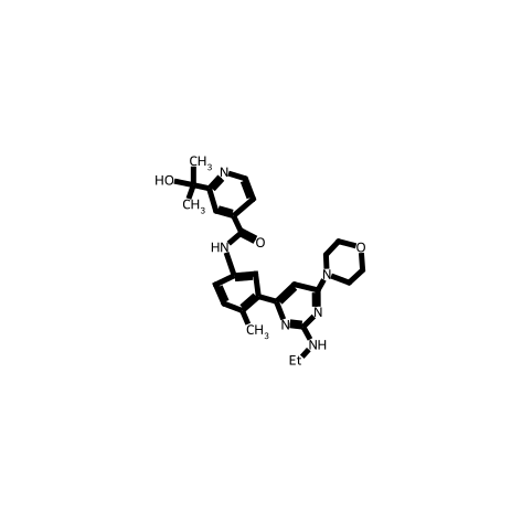 CCNc1nc(-c2cc(NC(=O)c3ccnc(C(C)(C)O)c3)ccc2C)cc(N2CCOCC2)n1